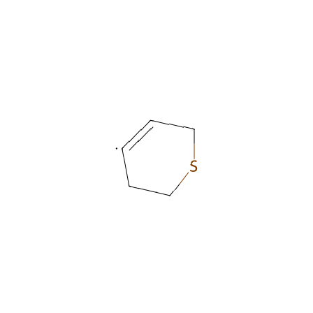 [C]1=CCSCC1